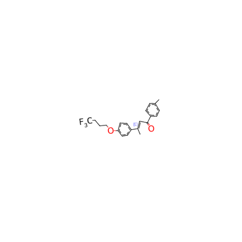 C/C(=C\C(=O)c1ccc(C)cc1)c1ccc(OCCCC(F)(F)F)cc1